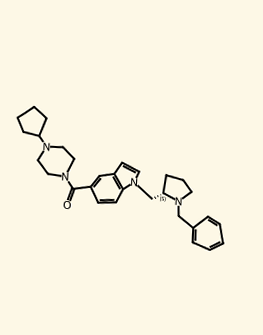 O=C(c1ccc2c(ccn2C[C@@H]2CCCN2Cc2ccccc2)c1)N1CCN(C2CCCC2)CC1